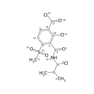 CC(C)C(Cl)NC(=O)c1c(S(C)(=O)=O)ccc(C(=O)Cl)c1Cl